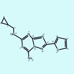 Nc1nc(NCC2CC2)nc2nc(-c3ccco3)nn12